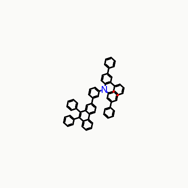 c1ccc(-c2cccc(N(c3cccc(-c4ccc5c(c4)c(-c4ccccc4)c(-c4ccccc4)c4ccccc45)c3)c3ccc(-c4ccccc4)cc3-c3ccccc3)c2)cc1